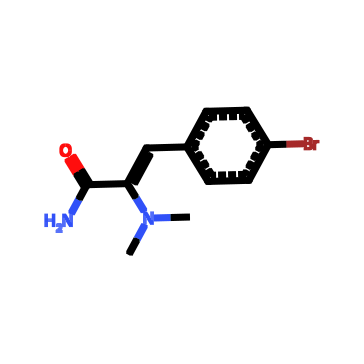 CN(C)/C(=C\c1ccc(Br)cc1)C(N)=O